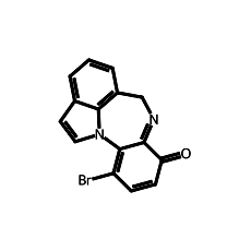 O=C1C=CC(Br)=C2C1=NCc1cccc3ccn2c13